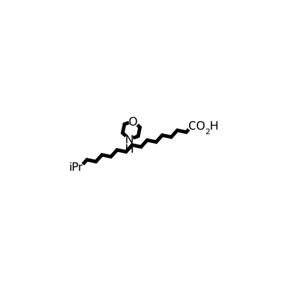 C1COCCN1.CC(C)CCCCCCCCCCCCCCC(=O)O